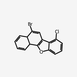 Clc1cccc2oc3c(c12)C=C(Br)C1C=CC=CC31